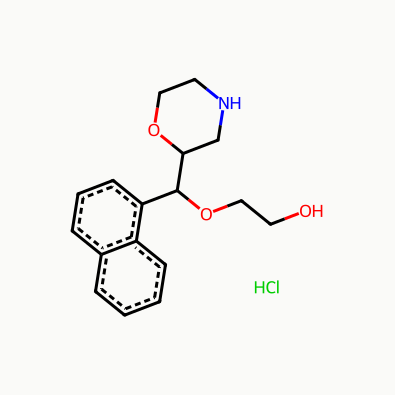 Cl.OCCOC(c1cccc2ccccc12)C1CNCCO1